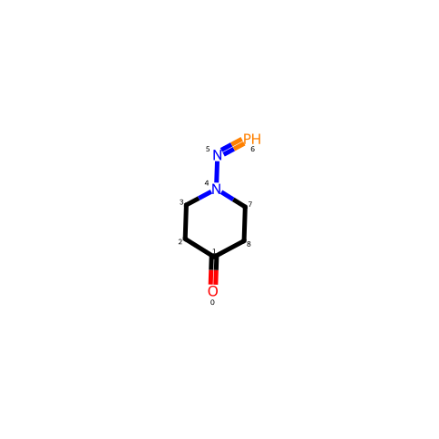 O=C1CCN(N=P)CC1